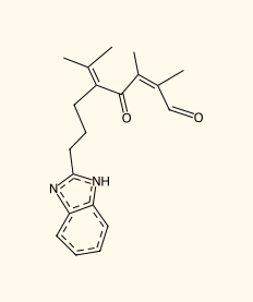 CC(C)=C(CCCc1nc2ccccc2[nH]1)C(=O)/C(C)=C(/C)C=O